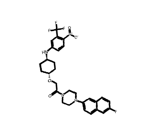 O=C(CO[C@H]1CC[C@H](Nc2ccc([N+](=O)[O-])c(C(F)(F)F)c2)CC1)N1CCN(c2ccc3cc(F)ccc3c2)CC1